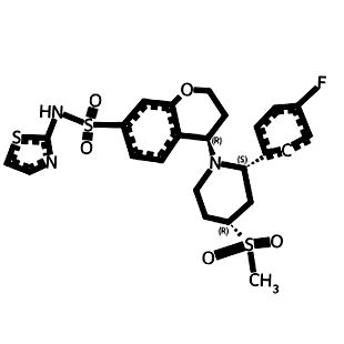 CS(=O)(=O)[C@@H]1CCN([C@@H]2CCOc3cc(S(=O)(=O)Nc4nccs4)ccc32)[C@H](c2ccc(F)cc2)C1